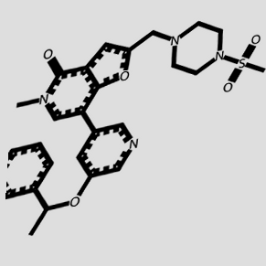 CC(Oc1cncc(-c2cn(C)c(=O)c3cc(CN4CCN(S(C)(=O)=O)CC4)oc23)c1)c1ccccc1